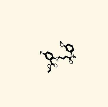 CCOC(=O)c1cc(F)ccc1SCCCC(=O)N(C)c1cccc(OC)c1